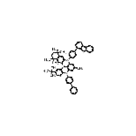 Cc1cc2c3c(c1)N(c1ccc(-c4cccc5c4oc4ccccc45)cc1)c1cc4c(cc1B3c1cc(C(C)(C)C)ccc1N2c1ccc(-c2ccccc2)cc1)C(C)(C)CCC4(C)C